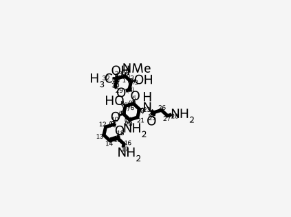 CN[C@@H]1[C@@H](O)[C@@H](O[C@@H]2[C@@H](O)[C@H](O[C@@H]3CCC=C(CN)O3)[C@@H](N)C[C@H]2NC(=O)CCN)OC[C@]1(C)O